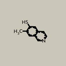 Cc1cc2cnccc2cc1S